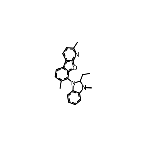 CCC1N(C)c2ccccc2N1c1c(C)ccc2c1oc1nc(C)ccc12